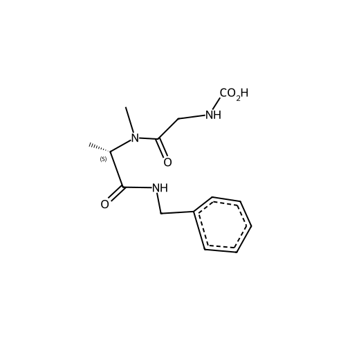 C[C@@H](C(=O)NCc1ccccc1)N(C)C(=O)CNC(=O)O